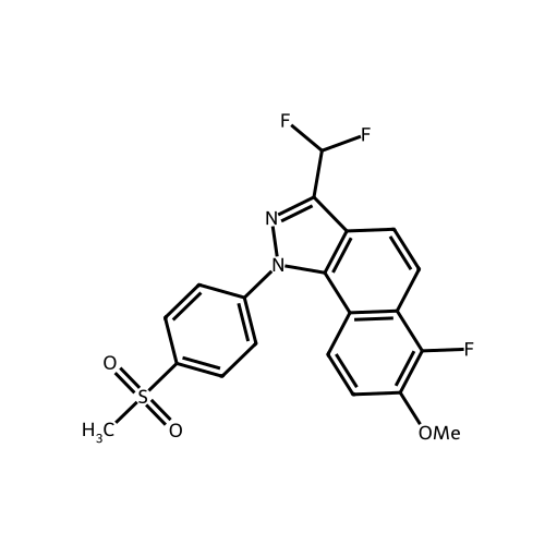 COc1ccc2c(ccc3c(C(F)F)nn(-c4ccc(S(C)(=O)=O)cc4)c32)c1F